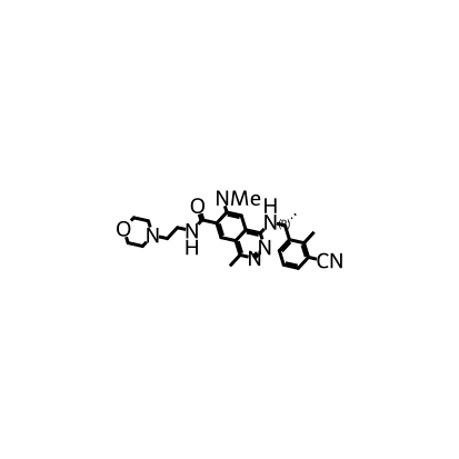 CNc1cc2c(N[C@H](C)c3cccc(C#N)c3C)nnc(C)c2cc1C(=O)NCCN1CCOCC1